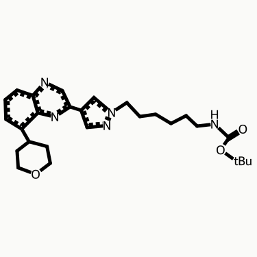 CC(C)(C)OC(=O)NCCCCCCn1cc(-c2cnc3cccc(C4CCOCC4)c3n2)cn1